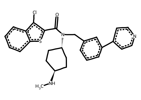 CN[C@H]1CC[C@H](N(Cc2cccc(-c3ccncc3)c2)C(=O)c2sc3ccccc3c2Cl)CC1